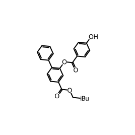 CCC(C)COC(=O)c1ccc(-c2ccccc2)c(OC(=O)c2ccc(O)cc2)c1